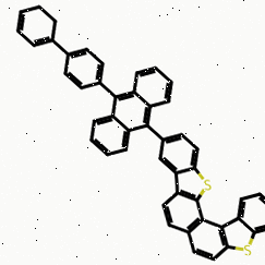 C1=CCCC(c2ccc(-c3c4ccccc4c(-c4ccc5sc6c(ccc7ccc8sc9ccccc9c8c76)c5c4)c4ccccc34)cc2)=C1